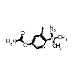 C[Si](C)(C)c1ncc(OC(N)=O)cc1F